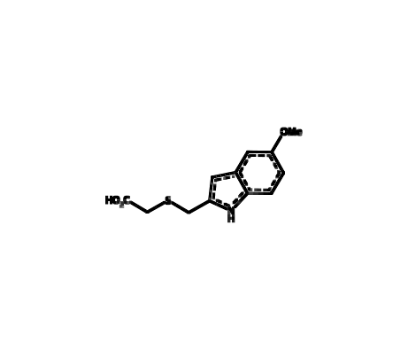 COc1ccc2[nH]c(CSCC(=O)O)cc2c1